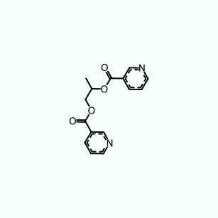 CC(COC(=O)c1cccnc1)OC(=O)c1cccnc1